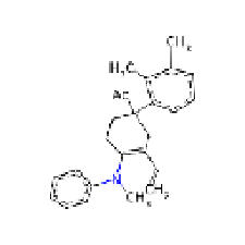 C=CC1=C(N(C)c2ccccc2)CCC(C(C)=O)(c2cccc(C)c2C)C1